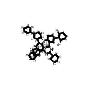 Fc1cccc(F)c1-c1ccc(-n2c3ccc(-c4ccccc4)cc3c3cc(-c4ccccc4)ccc32)c(-c2nc(-c3ccccc3)nc(-c3ccccc3)n2)c1